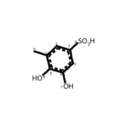 Cc1cc(S(=O)(=O)O)cc(O)c1O